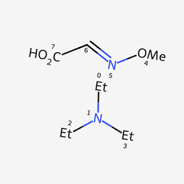 CCN(CC)CC.CON=CC(=O)O